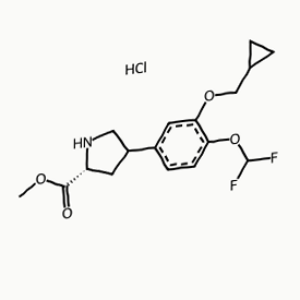 COC(=O)[C@H]1CC(c2ccc(OC(F)F)c(OCC3CC3)c2)CN1.Cl